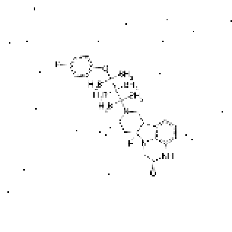 BC(B)(Oc1ccc(F)cc1)C(B)(B)C(B)(B)N1CC[C@H]2C(C1)c1cccc3c1N2CC(=O)N3